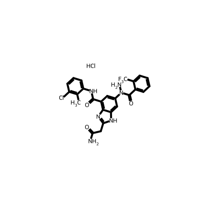 Cc1c(Cl)cccc1NC(=O)c1cc(N(N)C(=O)c2ccccc2C(F)(F)F)cc2[nH]c(CC(N)=O)nc12.Cl